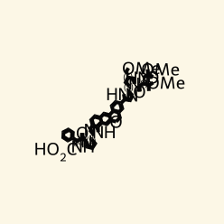 COC[C@H]1C[C@@H](c2ncc(-c3ccc4c(c3)COc3cc5c(ccc6nc([C@@H]7CCCN7C(=O)[C@H](NC(=O)O)c7ccccc7)[nH]c65)cc3-4)[nH]2)N(C(=O)[C@@H](NC(=O)OC)C(C)OC)C1